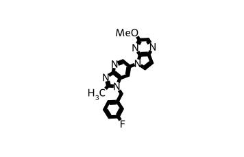 COc1cnc2ccn(-c3cnc4nc(C)n(Cc5cccc(F)c5)c4c3)c2n1